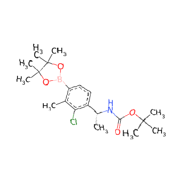 Cc1c(B2OC(C)(C)C(C)(C)O2)ccc([C@@H](C)NC(=O)OC(C)(C)C)c1Cl